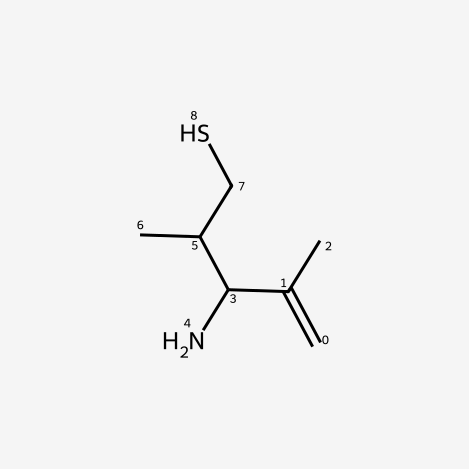 C=C(C)C(N)C(C)CS